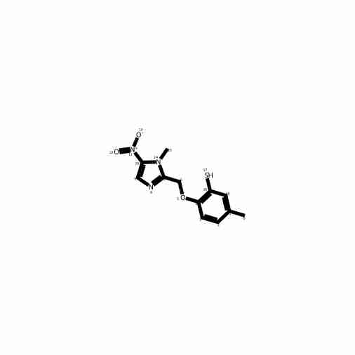 Cc1ccc(OCc2ncc([N+](=O)[O-])n2C)c(S)c1